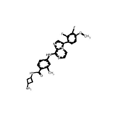 COc1ccc(-c2cnc3c(Nc4ccc(C(=O)NC5CC(N)C5)c(C)c4)nccn23)c(F)c1F